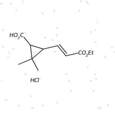 CCOC(=O)C=CC1C(C(=O)O)C1(C)C.Cl